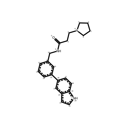 O=C(CCN1CCCC1)NCc1cccc(-c2ccc3[nH]ccc3c2)c1